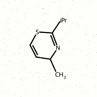 CC1C=CSC(C(C)C)=N1